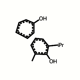 Cc1cccc(C(C)C)c1O.Oc1ccccc1